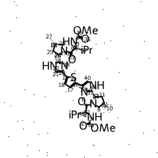 COC(=O)N[C@H](C(=O)N1C[C@@H](C)C[C@H]1c1nc(-c2ccc(-c3c[nH]c([C@@H]4C[C@H](C)CN4C(=O)[C@@H](NC(=O)OC)C(C)C)n3)s2)c[nH]1)C(C)C